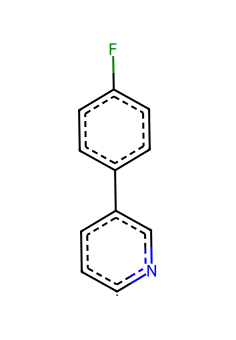 Fc1ccc(-c2cc[c]nc2)cc1